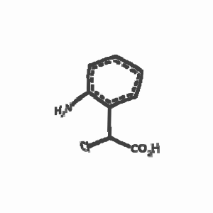 Nc1ccccc1C(Cl)C(=O)O